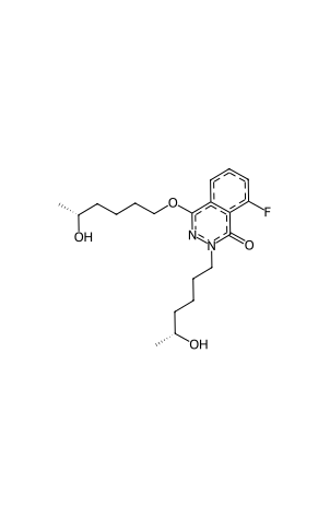 C[C@@H](O)CCCCOc1nn(CCCC[C@@H](C)O)c(=O)c2c(F)cccc12